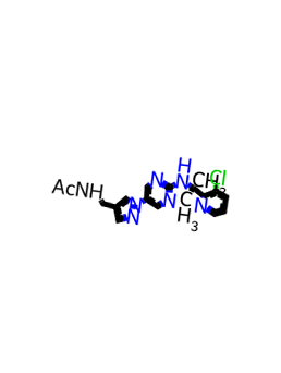 CC(=O)NCc1cnn(-c2cnc(NC(C)(C)c3ncccc3Cl)nc2)c1